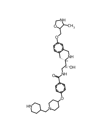 CC1NCOC1COc1ccc2c(c1)CN[C@H]([C@H](O)CNC(=O)c1ccc(OC3CCN(CC4CCNCC4)CC3)cc1)C2